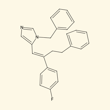 Fc1ccc(C(=Cc2cncn2Cc2ccccc2)CCc2ccccc2)cc1